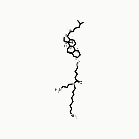 CC(C)CCC[C@@H](C)[C@H]1CC[C@H]2[C@@H]3CC=C4C[C@@H](SSCCCCC(=O)N(CCCN)CCCCCCCCN)CC[C@]4(C)C3CC[C@]12C